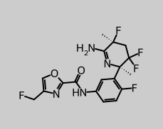 C[C@]1(F)CC(F)(F)[C@@](C)(c2cc(NC(=O)c3nc(CF)co3)ccc2F)N=C1N